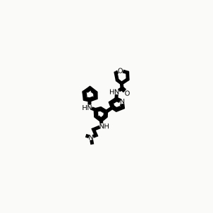 CN(C)CCNc1cc(Nc2ccccc2)cc(-c2ccnc(NC(=O)C3CCOCC3)c2)c1